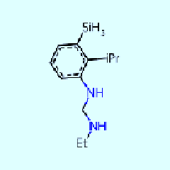 CCNCNc1cccc([SiH3])c1C(C)C